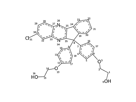 OCCOc1ccc(C2(c3ccc(OCCO)cc3)c3ccccc3-c3nc4ccc(Cl)cc4nc32)cc1